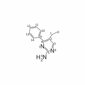 CCc1cnc(N)nc1-c1ccccc1